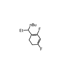 CCCCC(CC)C1=C(F)C=C(F)CC1